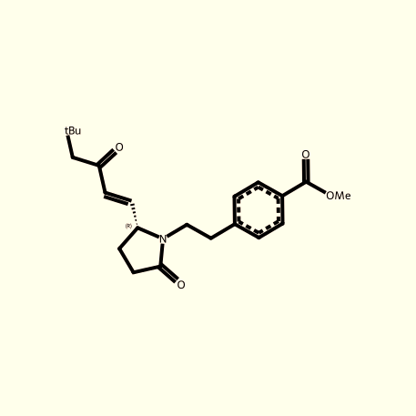 COC(=O)c1ccc(CCN2C(=O)CC[C@@H]2C=CC(=O)CC(C)(C)C)cc1